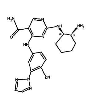 N#Cc1ccc(Nc2nc(N[C@@H]3CCCC[C@@H]3N)ncc2C(N)=O)cc1-n1nccn1